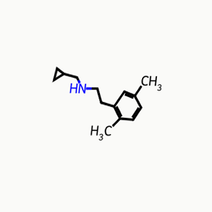 Cc1ccc(C)c(CCNCC2CC2)c1